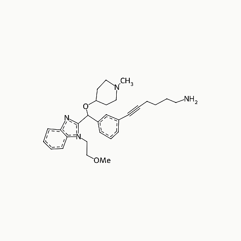 COCCn1c(C(OC2CCN(C)CC2)c2cccc(C#CCCCCN)c2)nc2ccccc21